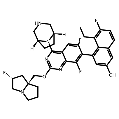 CCc1c(F)ccc2cc(O)cc(-c3c(F)cc4c(N5[C@@H]6CC[C@H]5CNC6)nc(OC[C@@]56CCCN5C[C@H](F)C6)nc4c3F)c12